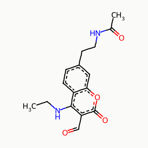 CCNc1c(C=O)c(=O)oc2cc(CCNC(C)=O)ccc12